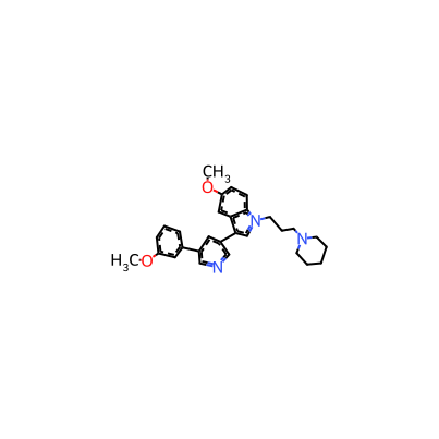 COc1cccc(-c2cncc(-c3cn(CCCN4CCCCC4)c4ccc(OC)cc34)c2)c1